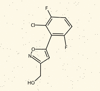 OCc1cc(-c2c(F)ccc(F)c2Cl)on1